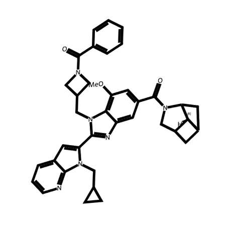 COc1cc(C(=O)N2CC3CC4CC2[C@H]43)cc2nc(-c3cc4cccnc4n3CC3CC3)n(CC3CN(C(=O)c4ccccc4)C3)c12